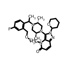 COCc1cc(F)ccc1C(C)N1C[C@H](C)N(c2c3c(ccc(=O)n3C)nn2C2CCCCO2)C[C@H]1C